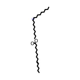 CCCCC=CCCCCCCCC(=O)OCCCCCCCC/C=C\CCCCCCCC